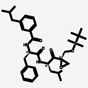 CC(C)Cc1cccc(C(=O)N[C@@H](Cc2ccccc2)C(=O)N[C@@H](CC(C)C)C(=O)[C@@]2(CO[Si](C)(C)C(C)(C)C)CO2)c1